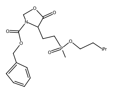 CC(C)CCOP(C)(=O)CCC1C(=O)OCN1C(=O)OCc1ccccc1